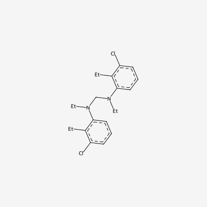 CCc1c(Cl)cccc1N(CC)CN(CC)c1cccc(Cl)c1CC